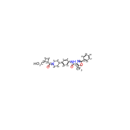 O=C(Nc1ccc(C2CCN(C(=O)C3CCC3C(=O)O)CC2)cc1)c1nc(-c2ccccc2)oc1C(F)(F)F